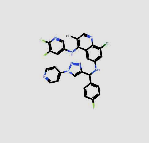 N#Cc1cnc2c(Cl)cc(NC(c3ccc(F)cc3)c3cn(-c4ccncc4)nn3)cc2c1Nc1cnc(F)c(F)c1